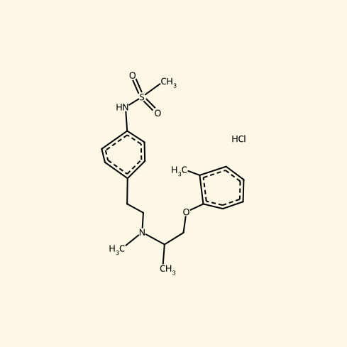 Cc1ccccc1OCC(C)N(C)CCc1ccc(NS(C)(=O)=O)cc1.Cl